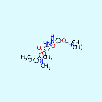 CCn1c(C)c(/C=C2\Oc3ccc(NC(=O)Nc4ccc(OCCCN(C)C)cc4)cc3C2=O)c2cc(OC)ccc21